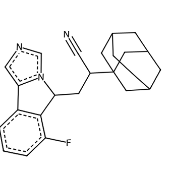 N#CC(CC1c2c(F)cccc2-c2cncn21)C12CC3CC(CC(C3)C1)C2